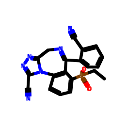 CCS(=O)(=O)c1cccc2c1C(c1ccccc1C#N)=NCc1nnc(C#N)n1-2